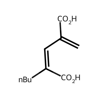 C=C(C=C(CCCC)C(=O)O)C(=O)O